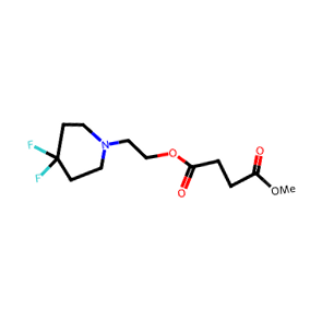 COC(=O)CCC(=O)OCCN1CCC(F)(F)CC1